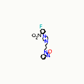 Cn1c(=O)n(CCCCN2CCN(c3ccc(F)cc3[N+](=O)[O-])CC2)c2ccccc21